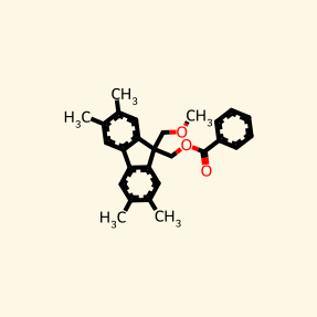 COCC1(COC(=O)c2ccccc2)c2cc(C)c(C)cc2-c2cc(C)c(C)cc21